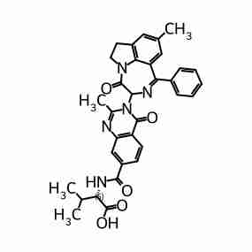 Cc1cc2c3c(c1)C(c1ccccc1)=NC(n1c(C)nc4cc(C(=O)N[C@H](C(=O)O)C(C)C)ccc4c1=O)C(=O)N3CC2